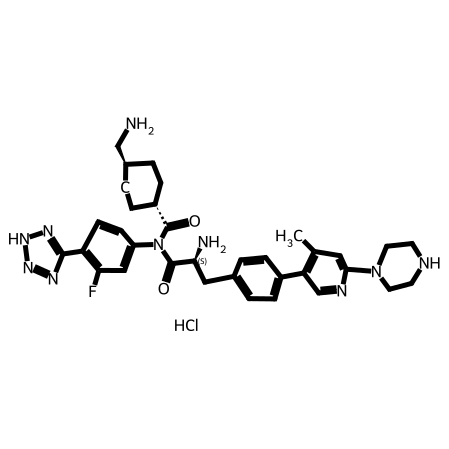 Cc1cc(N2CCNCC2)ncc1-c1ccc(C[C@H](N)C(=O)N(c2ccc(-c3nn[nH]n3)c(F)c2)C(=O)[C@H]2CC[C@H](CN)CC2)cc1.Cl